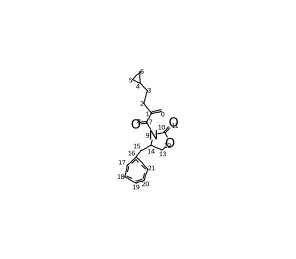 C=C(CCC1CC1)C(=O)N1C(=O)OCC1Cc1ccccc1